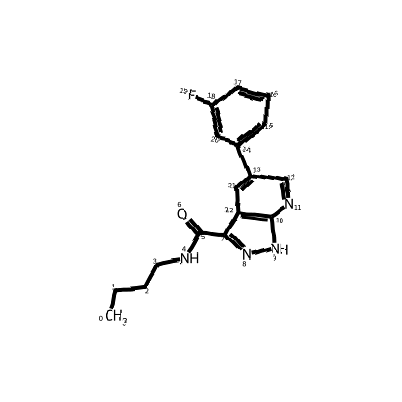 CCCCNC(=O)c1n[nH]c2ncc(-c3cccc(F)c3)cc12